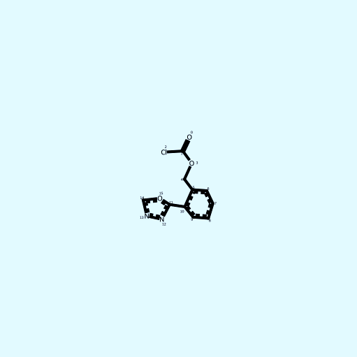 O=C(Cl)OCc1ccccc1-c1nnco1